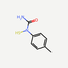 [CH2]c1ccc(N(S)C(N)=O)cc1